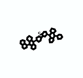 c1ccc(-c2c3ccccc3c(-c3ccc4sc5cc(-c6c7ccccc7c(-c7cccc8ccccc78)c7ccccc67)ccc5c4c3)c3ccccc23)cc1